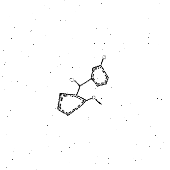 COc1ccccc1C(Cl)c1cccc(Cl)c1